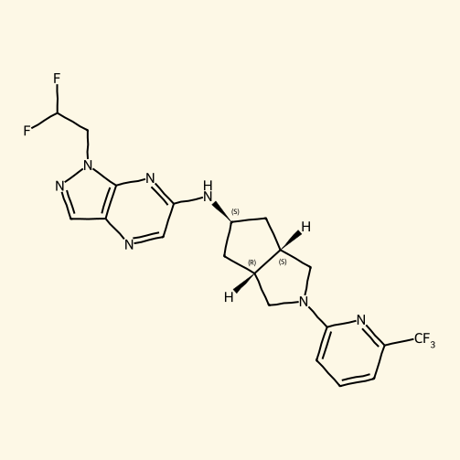 FC(F)Cn1ncc2ncc(N[C@H]3C[C@@H]4CN(c5cccc(C(F)(F)F)n5)C[C@@H]4C3)nc21